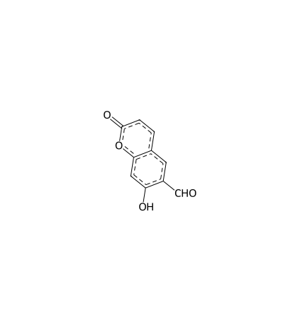 O=Cc1cc2ccc(=O)oc2cc1O